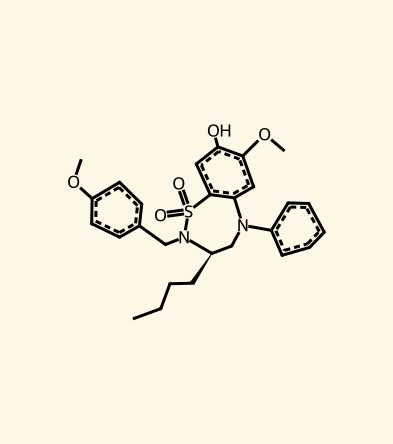 CCCC[C@@H]1CN(c2ccccc2)c2cc(OC)c(O)cc2S(=O)(=O)N1Cc1ccc(OC)cc1